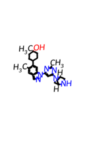 Cc1nc(N2C[C@@H]3C[C@H]2CN3)cc(-n2ncc3cc(C)c(C4CCC(C)(O)CC4)cc32)n1